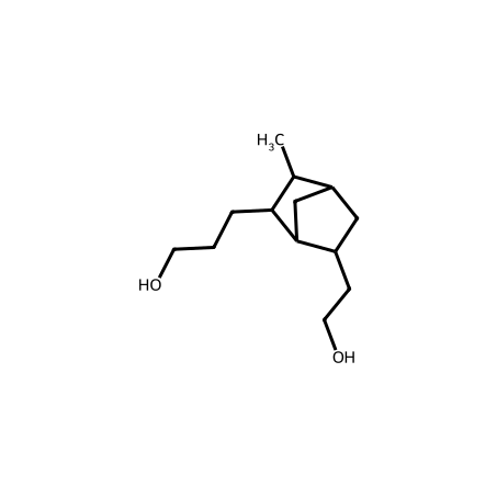 CC1C2CC(CCO)C(C2)C1CCCO